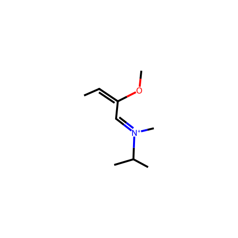 C/C=C(\C=[N+](/C)C(C)C)OC